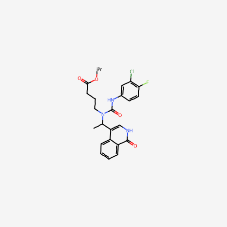 CC(C)OC(=O)CCCN(C(=O)Nc1ccc(F)c(Cl)c1)C(C)c1c[nH]c(=O)c2ccccc12